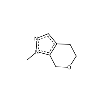 Cn1ncc2c1COCC2